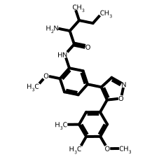 CCC(C)C(N)C(=O)Nc1cc(-c2cnoc2-c2cc(C)c(C)c(OC)c2)ccc1OC